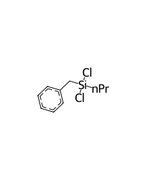 CCC[Si](Cl)(Cl)Cc1ccccc1